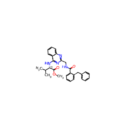 COC(=O)[C@@H](Nc1nc(CNC(=O)c2ccccc2Cc2ccccc2)nc2ccccc12)C(C)C